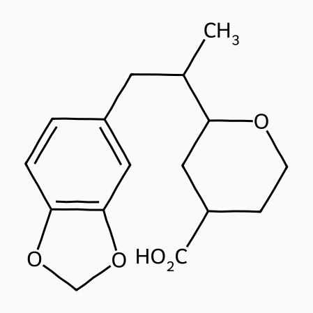 CC(Cc1ccc2c(c1)OCO2)C1CC(C(=O)O)CCO1